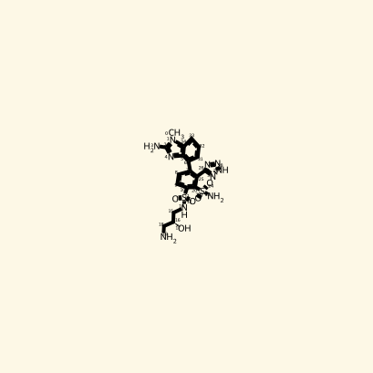 Cn1c(N)nc2c(-c3ccc(S(=O)(=O)NC[C@H](O)CN)c(S(N)(=O)=O)c3-c3nn[nH]n3)cccc21